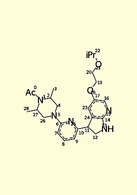 CC(=O)N1C(C)CN(c2cccc(C3CNc4ncc(OCCOC(C)C)cc43)n2)CC1C